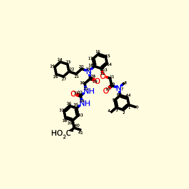 Cc1cc(C)cc(N(C)C(=O)COc2ccccc2N(CCC2CCCCC2)C(=O)CNC(=O)Nc2cccc(C(C)C(=O)O)c2)c1